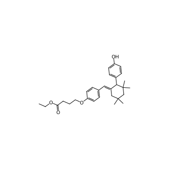 CCOC(=O)CCCOc1ccc(C=C2CC(C)(C)CC(C)(C)C2c2ccc(O)cc2)cc1